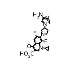 Nc1cn(C2CCN(c3c(F)cc4c(=O)c(C(=O)O)cn(C5CC5)c4c3F)C2)nn1